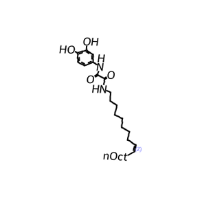 CCCCCCCC/C=C\CCCCCCCCNC(=O)C(=O)Nc1ccc(O)c(O)c1